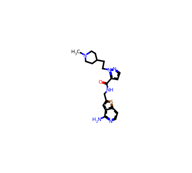 CN1CCC(CCn2nccc2C(=O)NCc2cc3c(N)nccc3s2)CC1